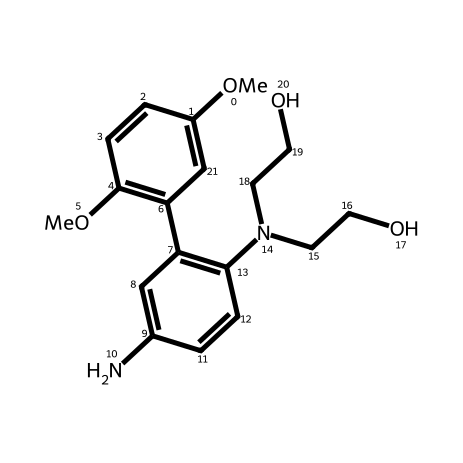 COc1ccc(OC)c(-c2cc(N)ccc2N(CCO)CCO)c1